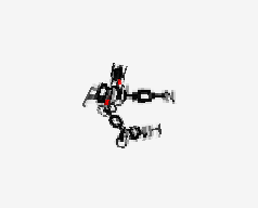 C[C@@H](c1nc(-c2ccc(C#N)cc2)cs1)[C@@](Cn1cncn1)(OCOC(=O)c1ccc(C(C=O)N2CCNCC2)cc1)c1ccc(F)cc1F